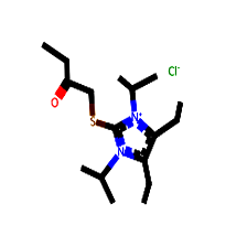 CCC(=O)CSc1n(C(C)C)c(CC)c(CC)[n+]1C(C)C.[Cl-]